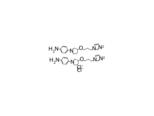 C[n+]1ccn(CCCOC2CCN(c3ccc(N)cc3)C2)c1.C[n+]1ccn(CCCOC2CCN(c3ccc(N)cc3)C2)c1.[Cl-].[Cl-]